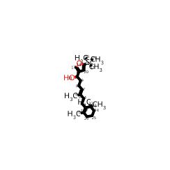 CC1=C(CC/C(C)=C/CCC(O)c2coc([Si](C)(C)C)c2)C(C)(C)CCC1